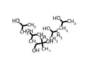 CC(C)(O)CO.CC(C)O.CC(C)O.CC(C)O.CC(C)O